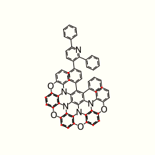 c1ccc(-c2ccc(-c3ccc(-c4c(-c5ccccc5)c(N5c6ccccc6Oc6ccccc65)c(N5c6ccccc6Oc6ccccc65)c(N5c6ccccc6Oc6ccccc65)c4N4c5ccccc5Oc5ccccc54)cc3)c(-c3ccccc3)n2)cc1